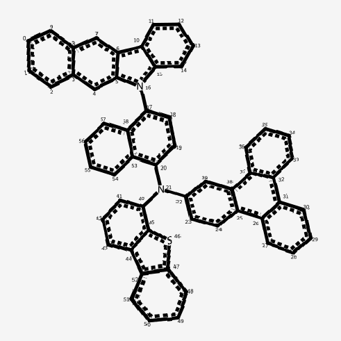 c1ccc2cc3c(cc2c1)c1ccccc1n3-c1ccc(N(c2ccc3c4ccccc4c4ccccc4c3c2)c2cccc3c2sc2ccccc23)c2ccccc12